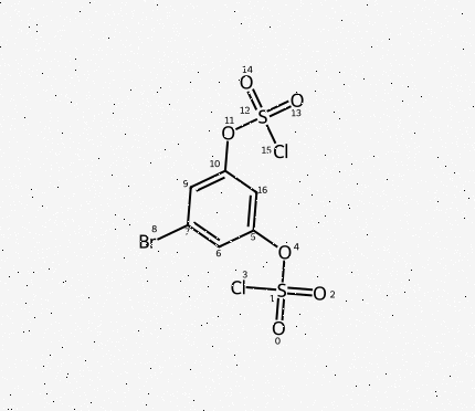 O=S(=O)(Cl)Oc1cc(Br)cc(OS(=O)(=O)Cl)c1